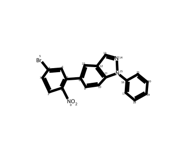 O=[N+]([O-])c1ccc(Br)cc1-c1ccc2c(cnn2-c2ccccc2)c1